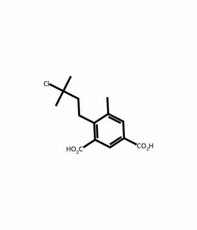 Cc1cc(C(=O)O)cc(C(=O)O)c1CCC(C)(C)Cl